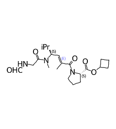 C/C(=C\[C@H](C(C)C)N(C)C(=O)CNC=O)C(=O)N1CCC[C@H]1C(=O)OC1CCC1